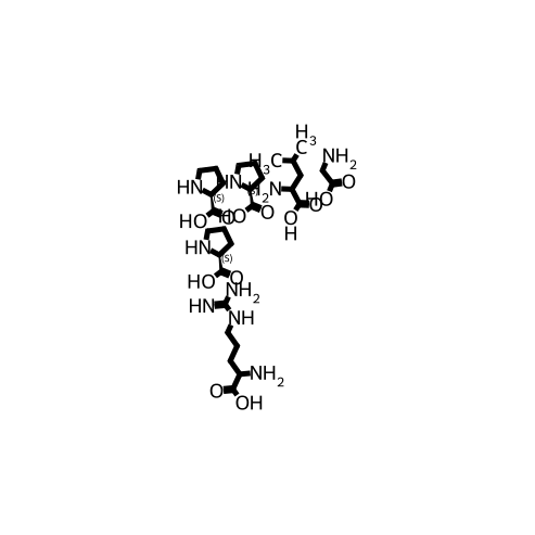 CC(C)CC(N)C(=O)O.N=C(N)NCCCC(N)C(=O)O.NCC(=O)O.O=C(O)[C@@H]1CCCN1.O=C(O)[C@@H]1CCCN1.O=C(O)[C@@H]1CCCN1